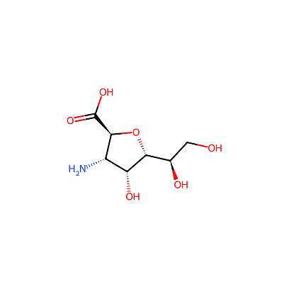 N[C@H]1[C@@H](O)[C@@H]([C@H](O)CO)O[C@@H]1C(=O)O